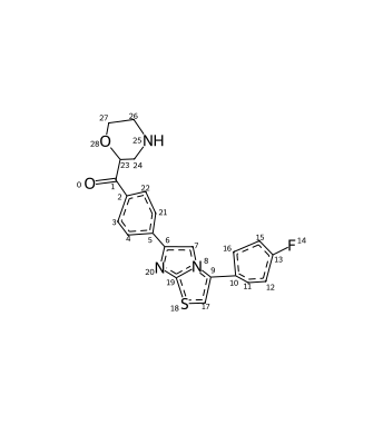 O=C(c1ccc(-c2cn3c(-c4ccc(F)cc4)csc3n2)cc1)C1CNCCO1